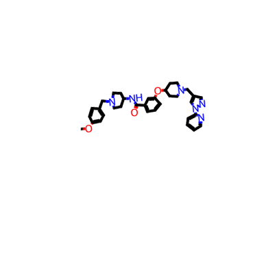 COc1ccc(CN2CCC(NC(=O)c3cccc(OC4CCN(Cc5cnn(-c6ccccn6)c5)CC4)c3)CC2)cc1